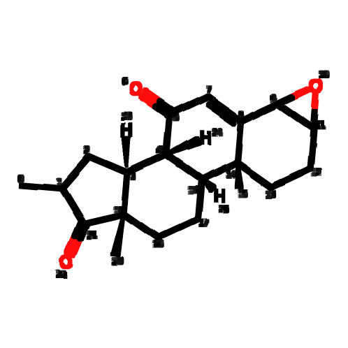 CC1C[C@H]2[C@@H]3C(=O)C=C4C5OC5CC[C@]4(C)[C@@H]3CC[C@]2(C)C1=O